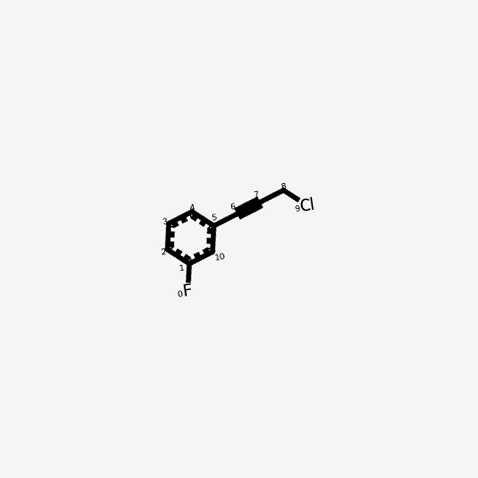 Fc1cccc(C#CCCl)c1